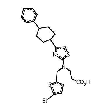 CCc1ccc(CN(CCC(=O)O)c2nc(C3CCC(c4ccccc4)CC3)cs2)s1